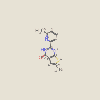 Cc1cccc(-c2nc3sc(C(C)(C)C)cc3c(=O)[nH]2)n1